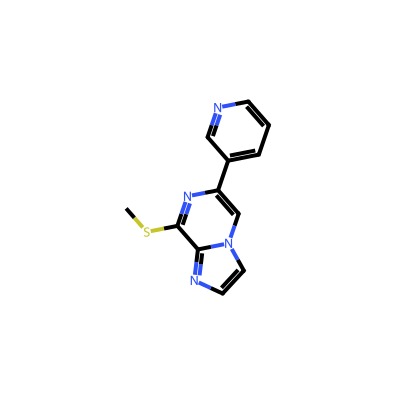 CSc1nc(-c2cccnc2)cn2ccnc12